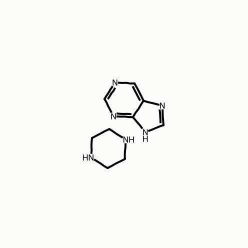 C1CNCCN1.c1ncc2nc[nH]c2n1